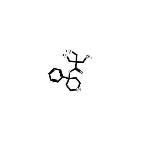 CCC(CC)(CC)C(=O)OC1(c2ccccc2)CCNCC1